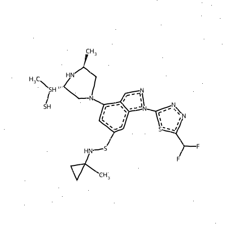 C[C@H]1CN(c2cc(SNC3(C)CC3)cc3c2cnn3-c2nnc(C(F)F)s2)C[C@H]([SH](C)S)N1